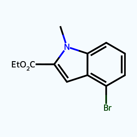 CCOC(=O)c1cc2c(Br)cccc2n1C